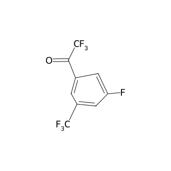 O=C(c1cc(F)cc(C(F)(F)F)c1)C(F)(F)F